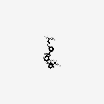 CN(C)CCOc1cccc(-c2nc3c(N[C@H]4[C@@H](C(N)=O)[C@@H]5C=C[C@H]4C5)c(Cl)cnc3[nH]2)c1